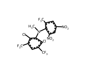 CN(c1c([N+](=O)[O-])cc([N+](=O)[O-])cc1C(F)(F)F)c1c(Cl)c(C(F)(F)F)cc(C(F)(F)F)c1Cl